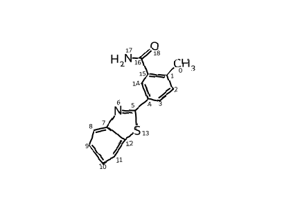 Cc1ccc(-c2nc3ccccc3s2)cc1C(N)=O